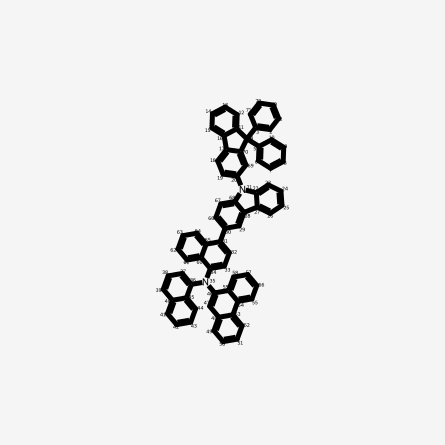 c1ccc(C2(c3ccccc3)c3ccccc3-c3ccc(-n4c5ccccc5c5cc(-c6ccc(N(c7cccc8ccccc78)c7cc8ccccc8c8ccccc78)c7ccccc67)ccc54)cc32)cc1